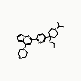 CCOC1(c2ccc(-c3cc(N4CCNCC4)c4cccn4n3)nc2)CCN(C(C)C)CC1